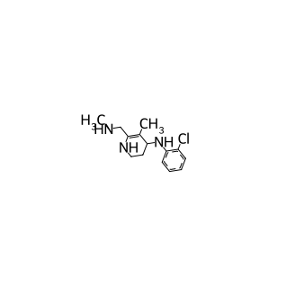 CNCC1=C(C)C(Nc2ccccc2Cl)CCN1